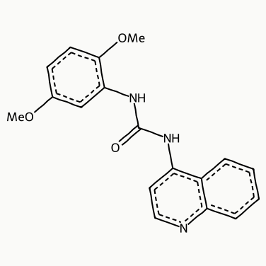 COc1ccc(OC)c(NC(=O)Nc2ccnc3ccccc23)c1